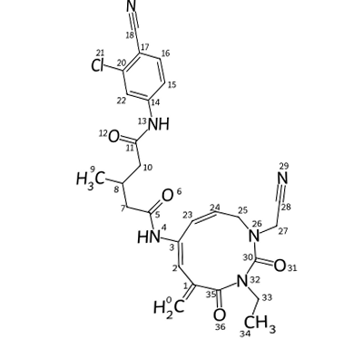 C=C1/C=C(NC(=O)CC(C)CC(=O)Nc2ccc(C#N)c(Cl)c2)\C=C/CN(CC#N)C(=O)N(CC)C1=O